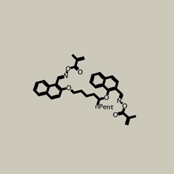 C=C(C)C(=O)ON=Cc1ccc2ccccc2c1OC(CCCCC)CCCCOc1ccc2ccccc2c1C=NOC(=O)C(=C)C